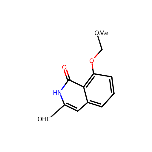 COCOc1cccc2cc(C=O)[nH]c(=O)c12